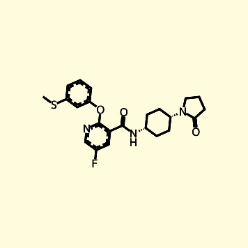 CSc1cccc(Oc2ncc(F)cc2C(=O)N[C@H]2CC[C@@H](N3CCCC3=O)CC2)c1